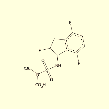 CC(C)(C)N(C(=O)O)S(=O)(=O)NC1c2c(F)ccc(F)c2CC1F